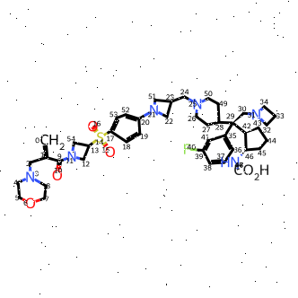 C=C(CN1CCOCC1)C(=O)N1CC(S(=O)(=O)c2ccc(N3CC(CN4CCC([C@@](CN5CCC5)(c5cccc(F)c5)[C@H]5CCC[C@@H]5NC(=O)O)CC4)C3)cc2)C1